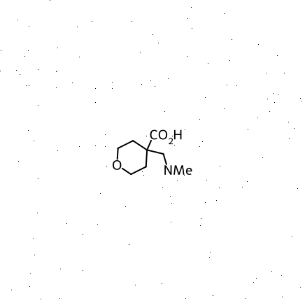 CNCC1(C(=O)O)CCOCC1